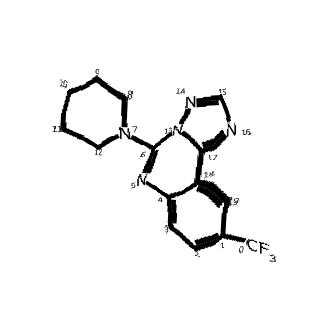 FC(F)(F)c1ccc2nc(N3CCCCC3)n3ncnc3c2c1